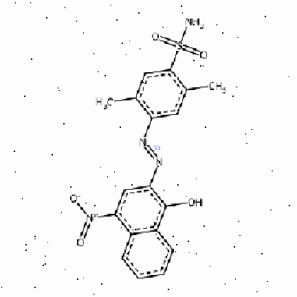 Cc1cc(S(N)(=O)=O)c(C)cc1/N=N/c1cc([N+](=O)[O-])c2ccccc2c1O